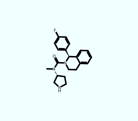 CN(C(=O)N1CCc2ccccc2[C@@H]1c1ccc(F)cc1)[C@@H]1CCNC1